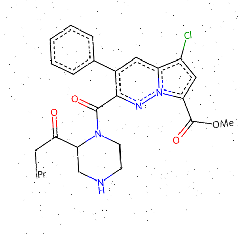 COC(=O)c1cc(Cl)c2cc(-c3ccccc3)c(C(=O)N3CCNCC3C(=O)CC(C)C)nn12